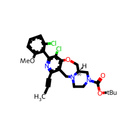 CC#Cc1nc(-c2c(Cl)cccc2OC)c(Cl)c2c1CN1CCN(C(=O)OC(C)(C)C)C[C@@H]1CO2